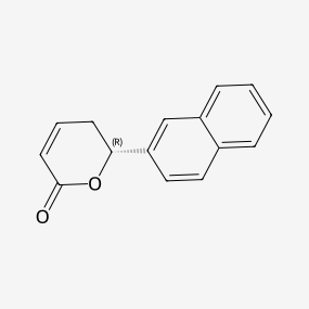 O=C1C=CC[C@H](c2ccc3ccccc3c2)O1